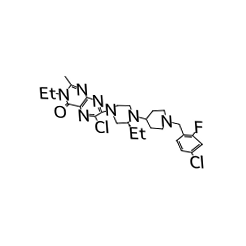 CC[C@H]1CN(c2nc3nc(C)n(CC)c(=O)c3nc2Cl)CCN1C1CCN(Cc2ccc(Cl)cc2F)CC1